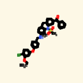 Cc1c(NCc2ccc(Oc3ccc(Cl)c(OCC(=O)O)c3)cc2)ccc(Cc2ccc(C(=O)c3ccccc3)cc2)c1NS(C)(=O)=O